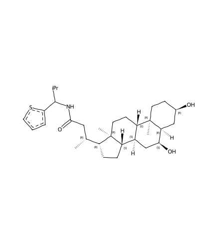 CC(C)C(NC(=O)C[C@@H](C)[C@H]1CC[C@H]2[C@@H]3C[C@H](O)[C@@H]4C[C@H](O)CC[C@]4(C)[C@H]3CC[C@]12C)c1cccs1